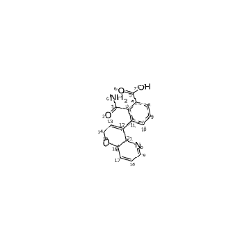 NC(=O)c1c(C(=O)O)cccc1C1=CCOC2C=CC=NC12